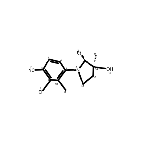 CC[C@@H]1N(c2ccc(C#N)c(Cl)c2C)CC[C@]1(C)O